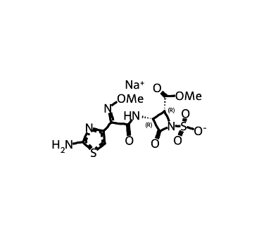 CON=C(C(=O)N[C@H]1C(=O)N(S(=O)(=O)[O-])[C@H]1C(=O)OC)c1csc(N)n1.[Na+]